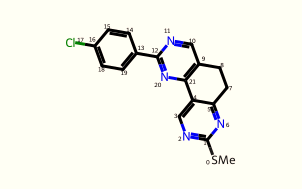 CSc1ncc2c(n1)CCc1cnc(-c3ccc(Cl)cc3)nc1-2